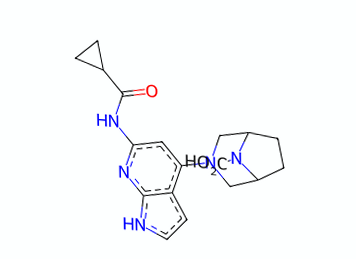 O=C(Nc1cc(N2CC3CCC(C2)N3C(=O)O)c2cc[nH]c2n1)C1CC1